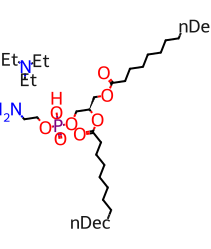 CCCCCCCCCCCCCCCCCC(=O)OC[C@H](COP(=O)(O)OCCN)OC(=O)CCCCCCCCCCCCCCCCC.CCN(CC)CC